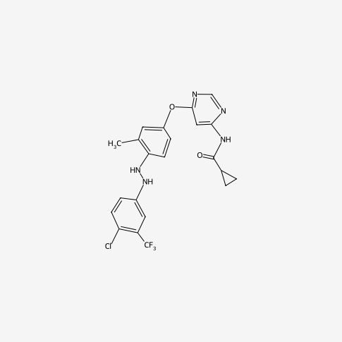 Cc1cc(Oc2cc(NC(=O)C3CC3)ncn2)ccc1NNc1ccc(Cl)c(C(F)(F)F)c1